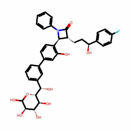 O=C1[C@H](CC[C@H](O)c2ccc(F)cc2)[C@@H](c2ccc(-c3cccc([C@H](O)[C@H]4OC(O)[C@H](O)[C@@H](O)[C@@H]4O)c3)cc2O)N1c1ccccc1